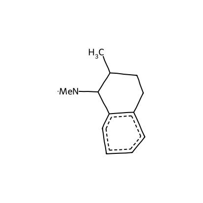 C[N]C1c2ccccc2CCC1C